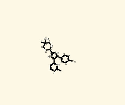 [CH2]c1nccc(-c2[nH]c(C3OCC(C)(N)CO3)nc2-c2ccc(F)cc2)n1